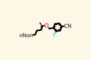 CCCCCCCCCCC[CH][C@@H](C)OCc1ccc(C#N)cc1F